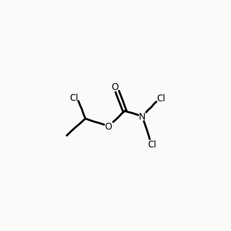 CC(Cl)OC(=O)N(Cl)Cl